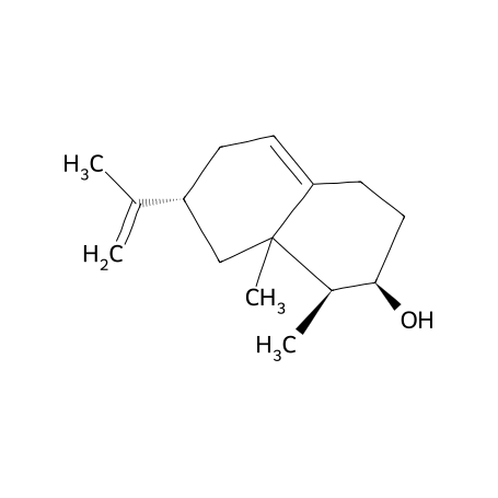 C=C(C)[C@@H]1CC=C2CC[C@@H](O)[C@@H](C)C2(C)C1